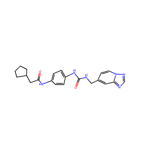 O=C(CC1CCCC1)Nc1ccc(NC(=O)NCc2ccn3ncnc3c2)cc1